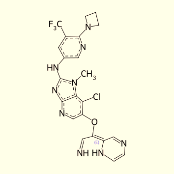 Cn1c(Nc2cnc(N3CCC3)c(C(F)(F)F)c2)nc2ncc(O/C(C=N)=C3\C=NC=CN3)c(Cl)c21